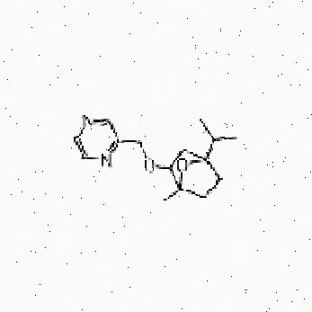 CC(C)C12CCC(C)(O1)C(OCc1cnccn1)C2